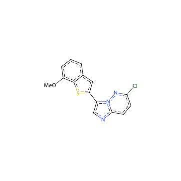 COc1cccc2cc(-c3cnc4ccc(Cl)nn34)sc12